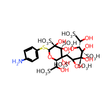 Nc1ccc(S[C@@H]2O[C@H](C(O)S(=O)(=O)O)[C@](O)([C@@H]3O[C@H](C(O)S(=O)(=O)O)[C@](O)(S(=O)(=O)O)[C@@](O)(S(=O)(=O)O)[C@]3(O)S(=O)(=O)O)[C@@](O)(S(=O)(=O)O)[C@]2(O)S(=O)(=O)O)cc1